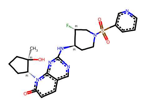 C[C@@]1(O)CCC[C@H]1n1c(=O)ccc2cnc(N[C@@H]3CCN(S(=O)(=O)c4cccnc4)C[C@H]3F)nc21